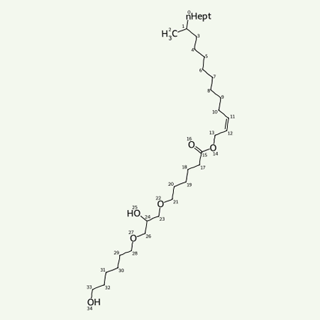 CCCCCCCC(C)CCCCCCCC/C=C\COC(=O)CCCCCOCC(O)COCCCCCCO